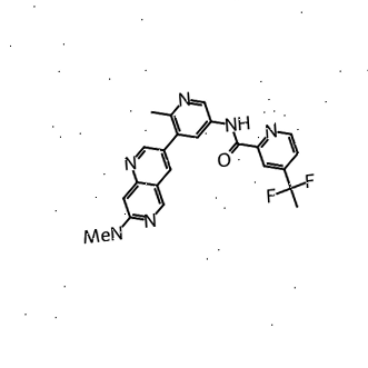 CNc1cc2ncc(-c3cc(NC(=O)c4cc(C(C)(F)F)ccn4)cnc3C)cc2cn1